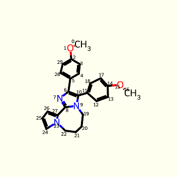 COc1ccc(-c2nc3n(c2-c2ccc(OC)cc2)CCCCn2cccc2-3)cc1